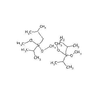 CO[Si](CC(C)C)(OC)C(C)C.CO[Si](OC)(C(C)C)C(C)C